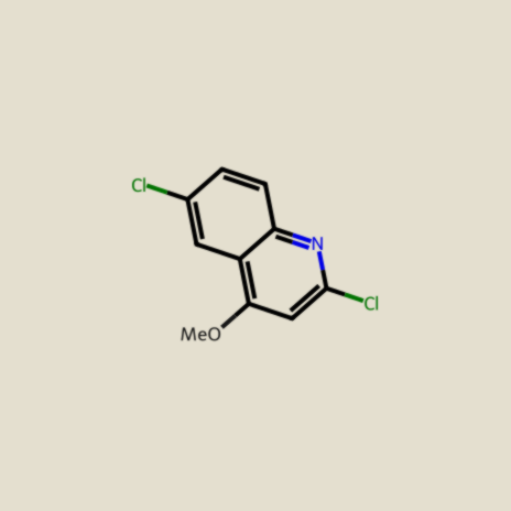 COc1cc(Cl)nc2ccc(Cl)cc12